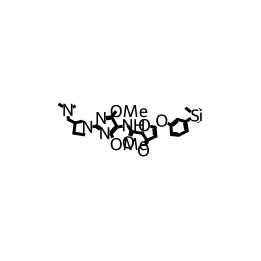 COc1nc(N2CCC(CN(C)C)C2)nc(OC)c1NC(=O)C1OC(Oc2cccc([Si](C)(C)C)c2)=CC1=O